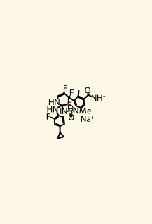 CNS(=O)(=O)NC1(Nc2ccc(C3CC3)cc2F)NC=C(F)C(F)(c2cccc(C([NH-])=O)c2C)C1F.[Na+]